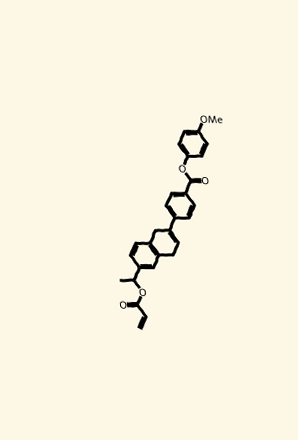 C=CC(=O)OC(C)c1ccc2c(c1)CC=C(c1ccc(C(=O)Oc3ccc(OC)cc3)cc1)C2